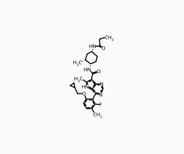 CCC(=O)N[C@@H]1CC[C@H](NC(=O)c2c(C)[nH]c3c(-c4c(OCC5CC5)ccc(C)c4F)ncnc23)[C@H](C)C1